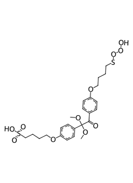 COC(OC)(C(=O)c1ccc(OCCCCSOOO)cc1)c1ccc(OCCCCS(=O)(=O)O)cc1